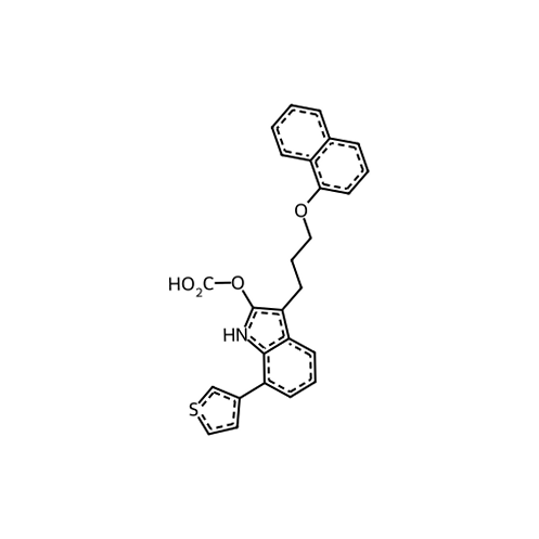 O=C(O)Oc1[nH]c2c(-c3ccsc3)cccc2c1CCCOc1cccc2ccccc12